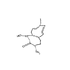 Cc1ccc2c(c1)N(O)C(=O)C(N)C2